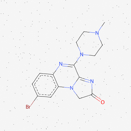 CN1CCN(C2=Nc3ccc(Br)cc3N3CC(=O)N=C23)CC1